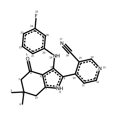 CC1(C)CC(=O)c2c([nH]c(-c3ccncc3C#N)c2Nc2cccc(F)c2)C1